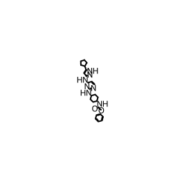 O=C(NC1CCC(Nc2nccc(Nc3cc(C4CCCC4)[nH]n3)n2)CC1)Oc1ccccc1